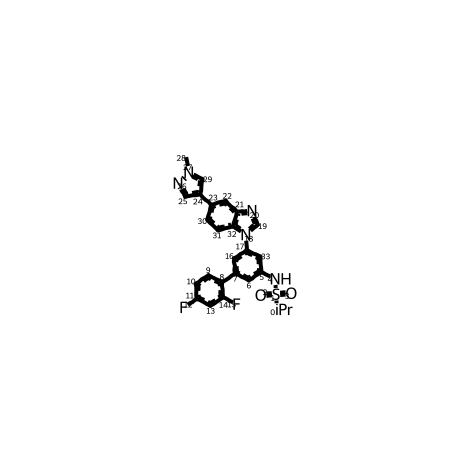 CC(C)S(=O)(=O)Nc1cc(-c2ccc(F)cc2F)cc(-n2cnc3cc(-c4cnn(C)c4)ccc32)c1